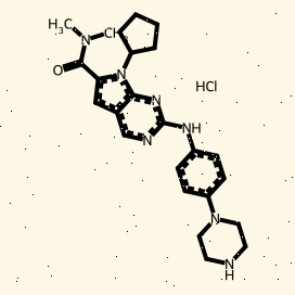 CN(C)C(=O)c1cc2cnc(Nc3ccc(N4CCNCC4)cc3)nc2n1C1CCCC1.Cl